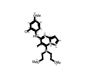 COCCN(CCOC)c1c(C)c(Nc2ccc(OC)cc2Cl)nc2ccnn12